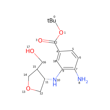 CC(C)(C)OC(=O)c1ccc(N)c(N[C@@H]2COCC2CO)c1